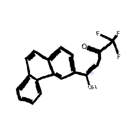 O=C(/C=C(/O)c1ccc2ccc3ccccc3c2c1)C(F)(F)F